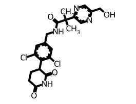 CC(C)(C(=O)NCc1cc(Cl)c(C2CCC(=O)NC2=O)c(Cl)c1)c1cnc(CO)cn1